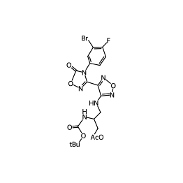 CC(=O)OCC(CNc1nonc1-c1noc(=O)n1-c1ccc(F)c(Br)c1)NC(=O)OC(C)(C)C